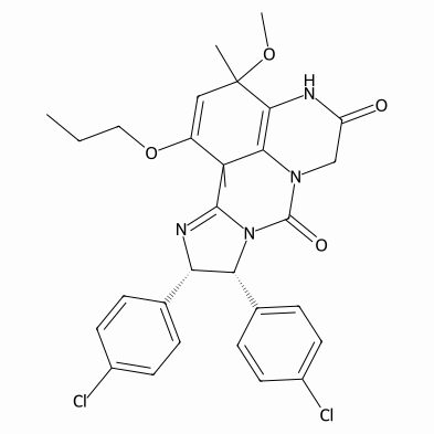 CCCOC1=CC(C)(OC)C2=C3N(CC(=O)N2)C(=O)N2C(=N[C@@H](c4ccc(Cl)cc4)[C@H]2c2ccc(Cl)cc2)C13C